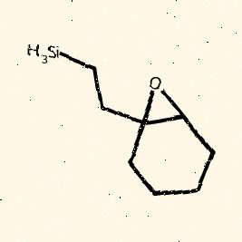 [SiH3]CCC12CCCCC1O2